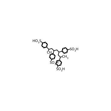 CC(CC(CC(CC(C)c1ccc(S(=O)(=O)O)cc1)c1ccc(S(=O)(=O)O)cc1)c1ccc(S(=O)(=O)O)cc1)c1ccc(S(=O)(=O)O)cc1